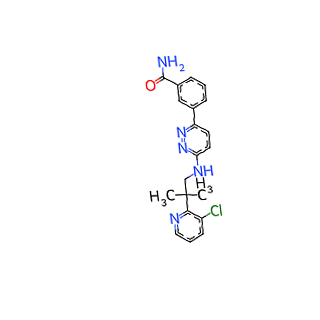 CC(C)(CNc1ccc(-c2cccc(C(N)=O)c2)nn1)c1ncccc1Cl